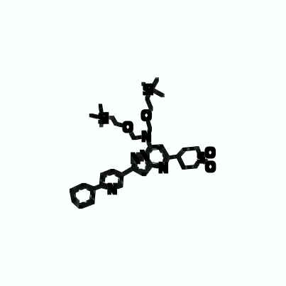 C[Si](C)(C)CCOCN(COCC[Si](C)(C)C)c1cc(C2CCS(=O)(=O)CC2)nc2cc(-c3ccc(-c4ccccc4)nc3)nn12